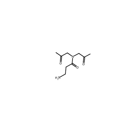 CC(=O)CN(CC(C)=O)C(=O)CCN